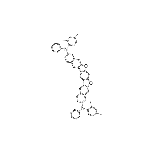 Cc1ccc(N(c2ccccc2)c2ccc3cc4c(cc3c2)oc2cc3oc5cc6cc(N(c7ccccc7)c7ccc(C)cc7C)ccc6cc5c3cc24)c(C)c1